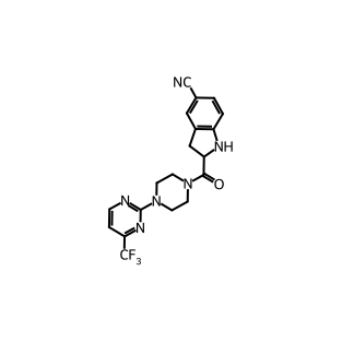 N#Cc1ccc2c(c1)CC(C(=O)N1CCN(c3nccc(C(F)(F)F)n3)CC1)N2